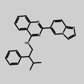 CC(C)C(CNc1nc(-c2ccc3nccn3c2)nc2ccccc12)c1ccccc1